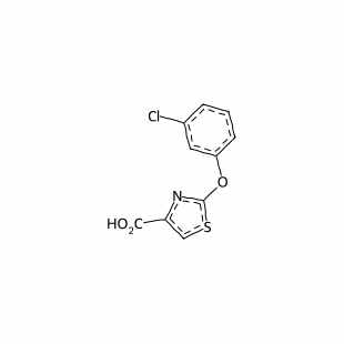 O=C(O)c1csc(Oc2cccc(Cl)c2)n1